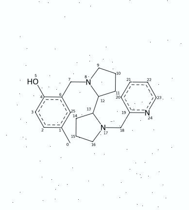 Cc1ccc(O)c(CN2CCCC2C2CCCN2Cc2ccccn2)c1